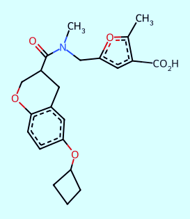 Cc1oc(CN(C)C(=O)C2COc3ccc(OC4CCC4)cc3C2)cc1C(=O)O